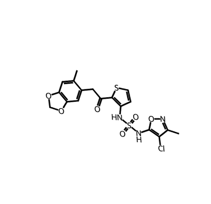 Cc1cc2c(cc1CC(=O)c1sccc1NS(=O)(=O)Nc1onc(C)c1Cl)OCO2